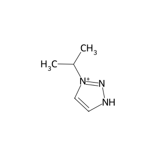 CC(C)[n+]1cc[nH]n1